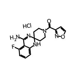 Cl.NC1=NC2(CCN(C(=O)c3ccon3)CC2)Nc2cccc(F)c21